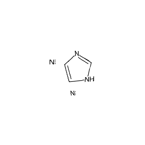 [N].[N].c1c[nH]cn1